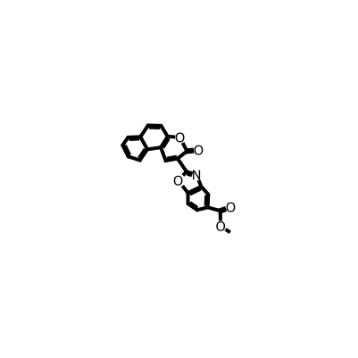 COC(=O)c1ccc2oc(-c3cc4c(ccc5ccccc54)oc3=O)nc2c1